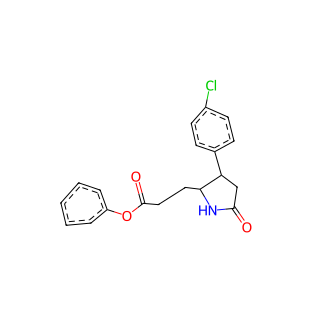 O=C1CC(c2ccc(Cl)cc2)C(CCC(=O)Oc2ccccc2)N1